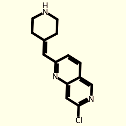 Clc1cc2nc(C=C3CCNCC3)ccc2cn1